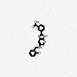 O=C(O)c1cccc(-c2nc3cc(NCc4ccccc4Cl)cnc3[nH]2)c1